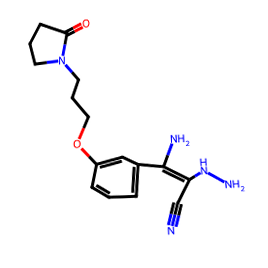 N#C/C(NN)=C(/N)c1cccc(OCCCN2CCCC2=O)c1